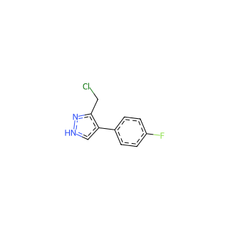 Fc1ccc(-c2c[nH]nc2CCl)cc1